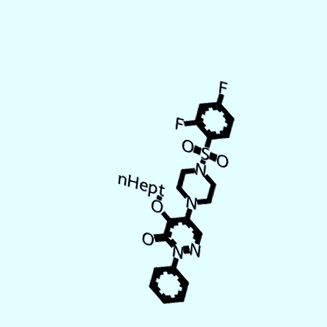 CCCCCCCOc1c(N2CCN(S(=O)(=O)c3ccc(F)cc3F)CC2)cnn(-c2ccccc2)c1=O